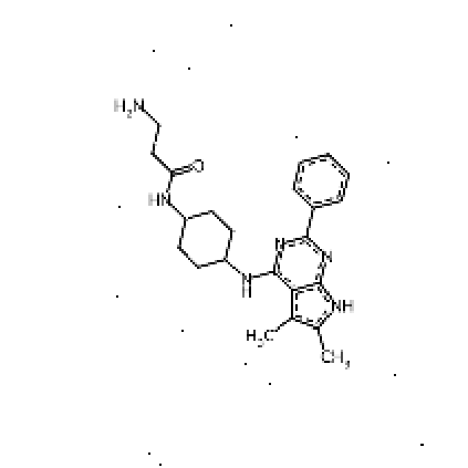 Cc1[nH]c2nc(-c3ccccc3)nc(NC3CCC(NC(=O)CCN)CC3)c2c1C